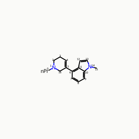 CCCN1CCC=C(c2cccc3c2ccn3C)C1